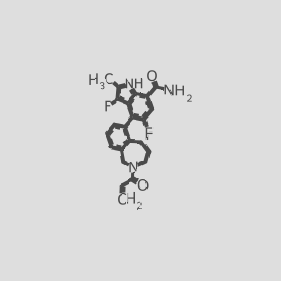 C=CC(=O)N1CCCc2c(cccc2-c2c(F)cc(C(N)=O)c3[nH]c(C)c(F)c23)C1